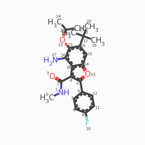 CNC(=O)c1c(-c2ccc(F)cc2)oc2cc(C(C)(C)C)c(OC(C)C)c(N)c12